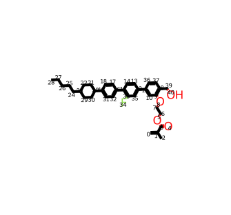 C=C(C)C(=O)OCCOc1cc(-c2ccc(-c3ccc(C4CCC(CCCCC)CC4)cc3)c(F)c2)ccc1CO